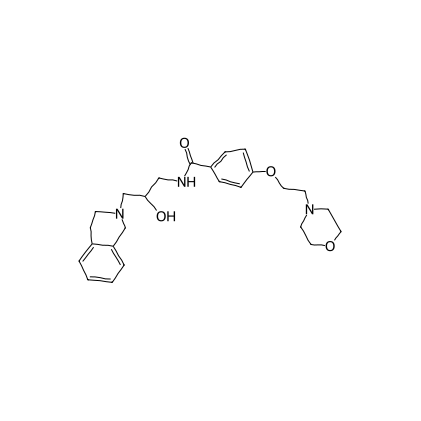 O=C(NCC(O)CN1CCc2ccccc2C1)c1ccc(OCCN2CCOCC2)cc1